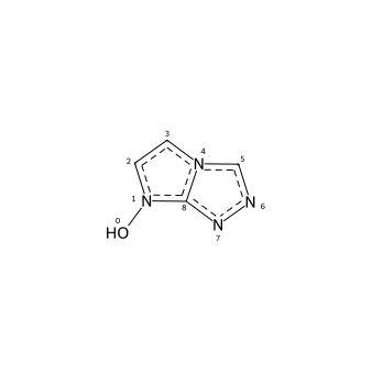 On1ccn2cnnc12